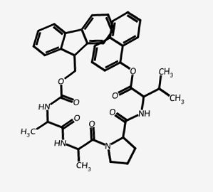 CC(NC(=O)OCC1c2ccccc2-c2ccccc21)C(=O)NC(C)C(=O)N1CCCC1C(=O)NC(C(=O)Oc1cccc2ccccc12)C(C)C